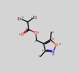 CCC(CC)C(=O)OCc1c(C)noc1C